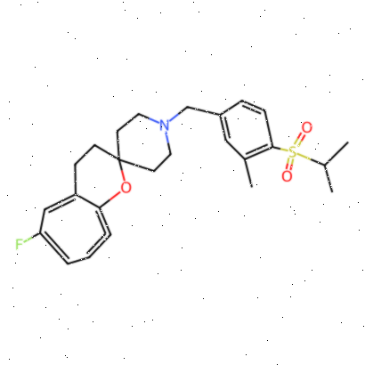 Cc1cc(CN2CCC3(CCC4=CC(F)=CC=C=C4O3)CC2)ccc1S(=O)(=O)C(C)C